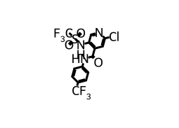 O=C(Nc1ccc(C(F)(F)F)cc1)c1cc(Cl)ncc1NS(=O)(=O)C(F)(F)F